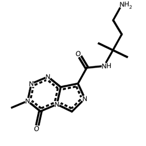 Cn1nnc2c(C(=O)NC(C)(C)CCN)ncn2c1=O